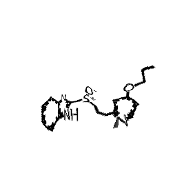 CCCOc1ccnc(C[S+]([O-])c2nc3ccccc3[nH]2)c1